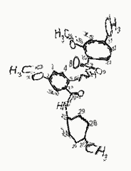 COc1ccc(NS(=O)(=O)c2ccc(C)cc2OC)c(C(=O)NC2CCC(C)CC2)c1